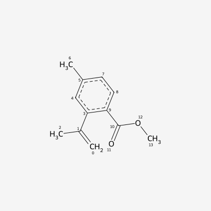 C=C(C)c1cc(C)ccc1C(=O)OC